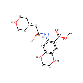 COC(=O)c1cc2c(cc1NC(=O)CC1CCOCC1)OCCO2